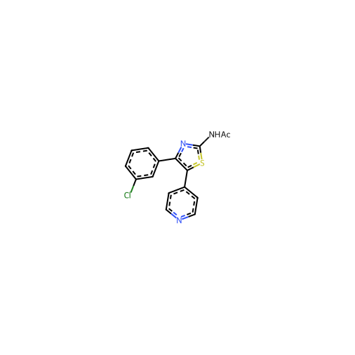 CC(=O)Nc1nc(-c2cccc(Cl)c2)c(-c2ccncc2)s1